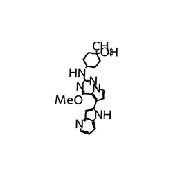 COc1nc(N[C@H]2CC[C@@](C)(O)CC2)nn2ccc(-c3cc4ncccc4[nH]3)c12